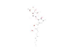 CCCCCCCC(CC=O)OC(OO)C1CC(C)C(O)C1OC1OC(C)C(O)C(OC(C)=O)C1O